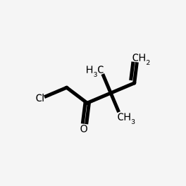 C=CC(C)(C)C(=O)CCl